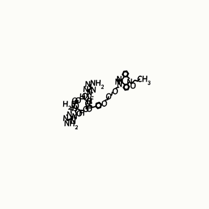 B[P@]1(=O)OC[C@H]2O[C@@H](n3cnc4c(N)ncnc43)[C@H](F)[C@@H]2O[P@@](=O)(SCc2ccc(OCCOCCOCCn3nnc4c3-c3ccccc3N(C(=O)CCC)Cc3ccccc3-4)cc2)OC[C@H]2O[C@@H](n3cnc4c(N)ncnc43)[C@H](F)[C@@H]2O1